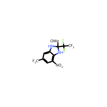 COC1(C(F)(F)C(F)(F)F)Nc2cc(C(F)(F)F)cc([N+](=O)[O-])c2N1